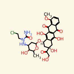 COc1cccc2c1C(=O)c1c(O)c3c(c(O)c1C2=O)C[C@@](O)(C(=O)CO)C[C@@H]3OC1CC(NN(CCCl)C(N)=O)C(O)C(C)O1